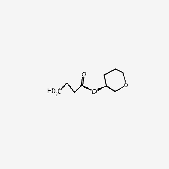 O=C(O)CCC(=O)O[C@H]1CCCOC1